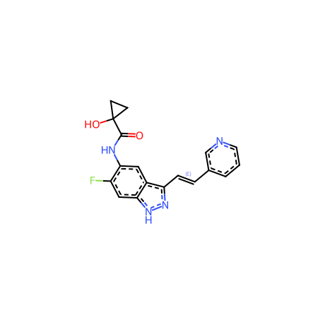 O=C(Nc1cc2c(/C=C/c3cccnc3)n[nH]c2cc1F)C1(O)CC1